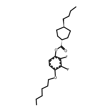 CCCCCCOc1ccc(OC(=O)[C@H]2CC[C@H](CCCC)CC2)c(F)c1F